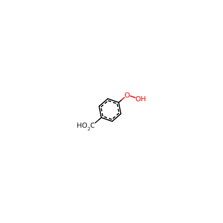 O=C(O)c1ccc(OO)cc1